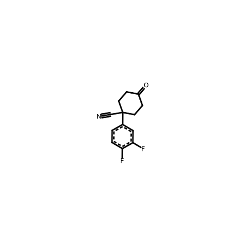 N#CC1(c2ccc(F)c(F)c2)CCC(=O)CC1